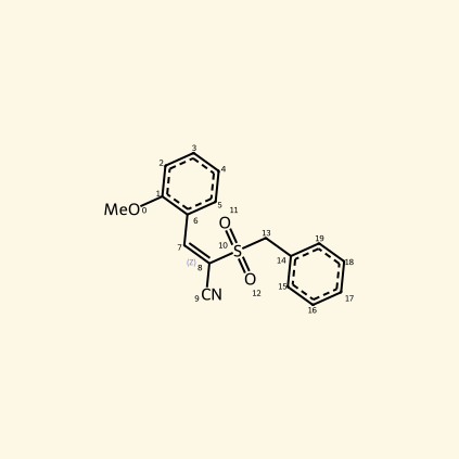 COc1ccccc1/C=C(/C#N)S(=O)(=O)Cc1ccccc1